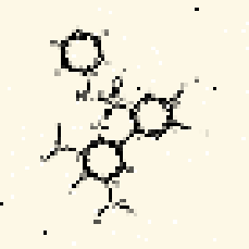 Cc1c(N(C)C)cc(-c2cc(F)c(F)cc2S(=O)(=O)Nc2ccccc2)cc1N(C)C